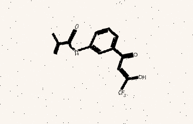 C=C(C)C(=O)Nc1cccc(C(=O)/C=C(\O)C(F)(F)F)c1